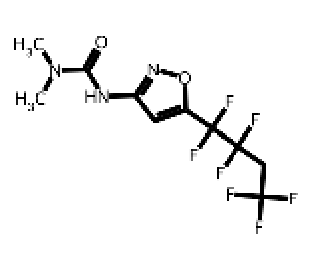 CN(C)C(=O)Nc1cc(C(F)(F)C(F)(F)CC(F)(F)F)on1